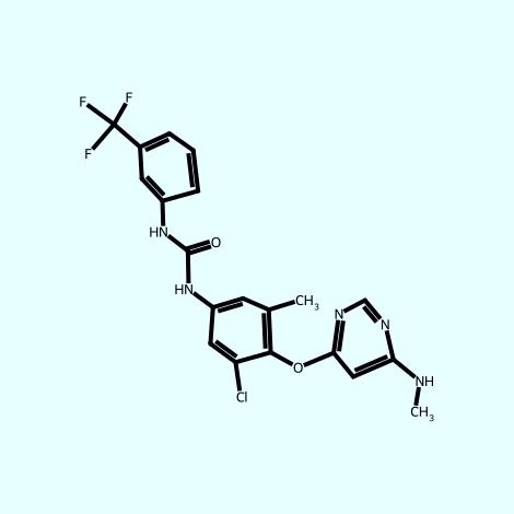 CNc1cc(Oc2c(C)cc(NC(=O)Nc3cccc(C(F)(F)F)c3)cc2Cl)ncn1